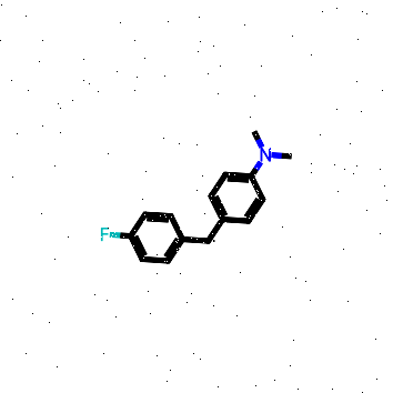 CN(C)c1ccc([CH]c2ccc(F)cc2)cc1